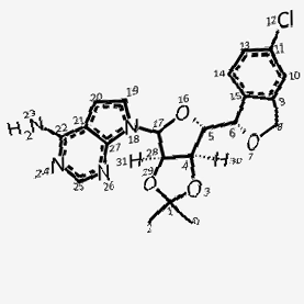 CC1(C)O[C@@H]2[C@@H]([C@H]3OCc4cc(Cl)ccc43)OC(n3ccc4c(N)ncnc43)[C@@H]2O1